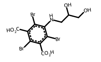 O=C(O)c1c(Br)c(NCC(O)CO)c(Br)c(C(=O)O)c1Br